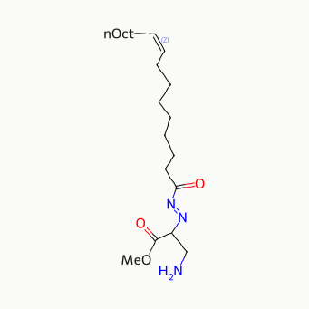 CCCCCCCC/C=C\CCCCCCCC(=O)N=NC(CN)C(=O)OC